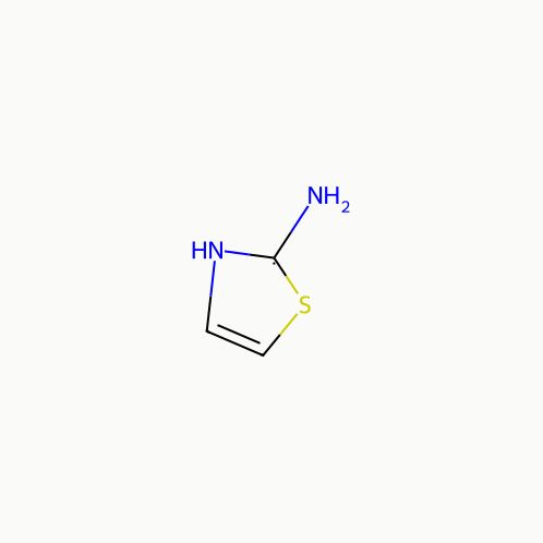 N[C]1NC=CS1